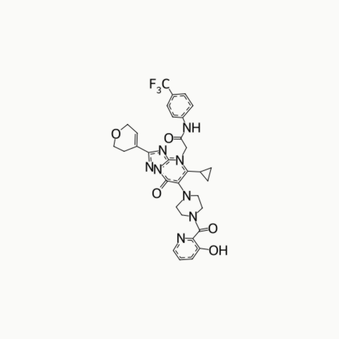 O=C(Cn1c(C2CC2)c(N2CCN(C(=O)c3ncccc3O)CC2)c(=O)n2nc(C3=CCOCC3)nc12)Nc1ccc(C(F)(F)F)cc1